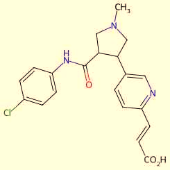 CN1CC(C(=O)Nc2ccc(Cl)cc2)C(c2ccc(C=CC(=O)O)nc2)C1